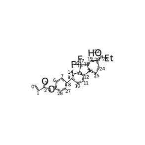 C=CC(=O)Oc1ccc(-c2ccc3c(c2)C(F)(F)c2cc(C(O)CC)ccc2-3)cc1